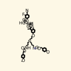 COc1ccc(COO/C=N\CCCN(CCCNC(=O)OCc2ccc(OC)cc2)CCCOc2ccc3sc(S(=O)(=O)NCP(=O)(O)Oc4ccc(C#N)c(F)c4)c(C)c3c2)cc1